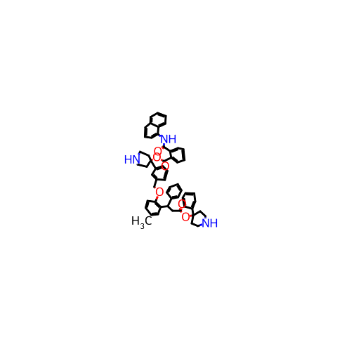 Cc1ccc(OCc2cccc(C3(OC(=O)c4ccccc4C(=O)Nc4cccc5ccccc45)CCNCC3)c2)c(C(CC(=O)OC2(c3ccccc3)CCNCC2)c2ccccc2)c1